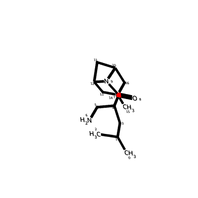 CC(C)CC(CN)C(=O)N1C2CC1CN(C)C2